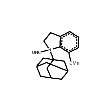 COc1cccc2c1[N+](C=O)(C13CC4CC(CC(C4)C1)C3)CC2